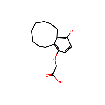 [O]c1ccc(OCC(=O)O)c2c1CCCCCCCC2